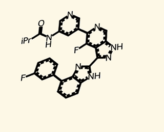 CC(C)C(=O)Nc1cncc(-c2ncc3[nH]nc(-c4nc5c(-c6cccc(F)c6)cccc5[nH]4)c3c2F)c1